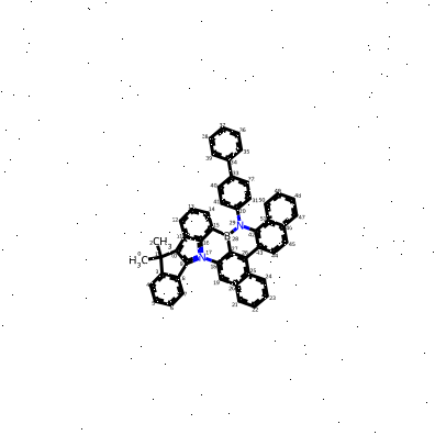 CC1(C)c2ccccc2-c2c1c1cccc3c1n2-c1cc2ccccc2c2c1B3N(c1ccc(-c3ccccc3)cc1)c1c-2ccc2ccccc12